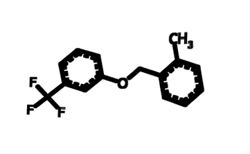 Cc1ccccc1COc1cccc(C(F)(F)F)c1